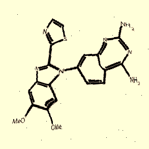 COc1cc2nc(-c3nccs3)n(-c3ccc4c(N)nc(N)nc4c3)c2cc1OC